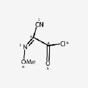 CO/N=C(/C#N)C(=O)Cl